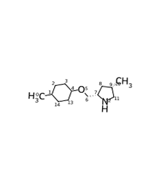 CC1CCC(OC[C@@H]2C[C@H](C)CN2)CC1